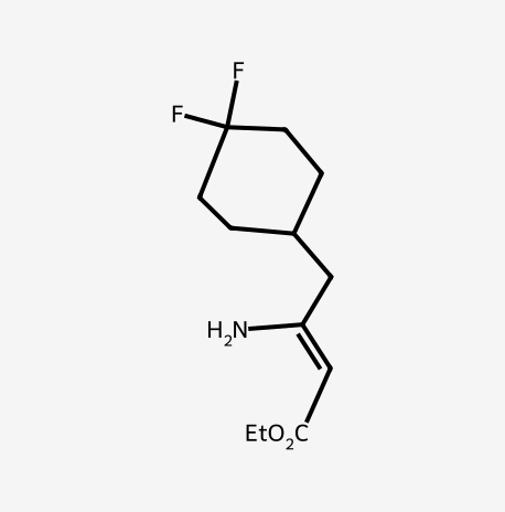 CCOC(=O)/C=C(\N)CC1CCC(F)(F)CC1